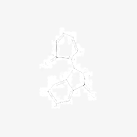 O=C1OC(n2ccc[c]c2=O)c2ccccc21